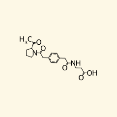 CC(=O)[C@@H]1CCCN1C(=O)Cc1ccc(CC(=O)NCCC(=O)O)cc1